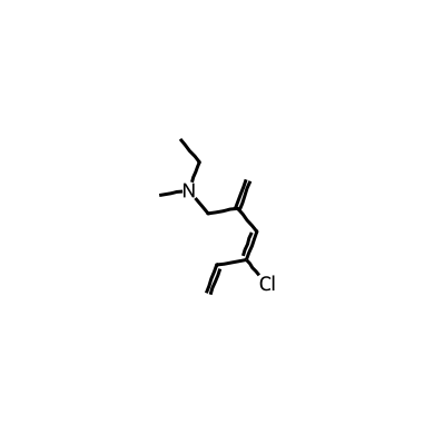 C=C/C(Cl)=C\C(=C)CN(C)CC